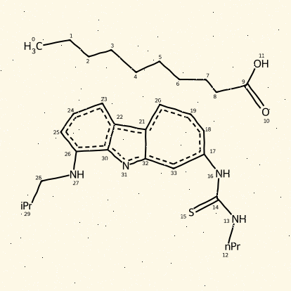 CCCCCCCCCC(=O)O.CCCNC(=S)Nc1cccc2c3cccc(NCC(C)C)c3nc-2c1